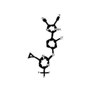 N#Cc1nc(-c2ccc(Oc3nc(C4CC4)cc(C(F)(F)F)n3)cc2Cl)[nH]c1C#N